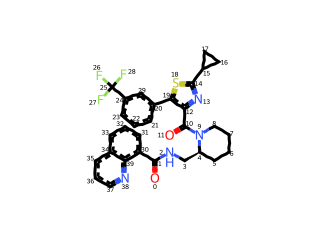 O=C(NC[C@@H]1CCCCN1C(=O)c1nc(C2CC2)sc1-c1cccc(C(F)(F)F)c1)c1cccc2cccnc12